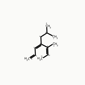 C=C/C=C(CC(C)C)\C(C)=C/C